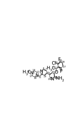 CC(Oc1cc(-c2ccnc(CN3CCN(C)CC3)c2)cnc1N)c1c(F)ccc(F)c1Cl